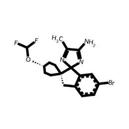 CC1=NC2(N=C1N)c1cc(Br)ccc1C[C@]21CC[C@@H](OC(F)F)CC1